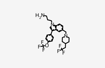 NCCCn1cc(-c2ccc(OC(F)(F)F)cc2)c2cc(CN3CCC(CC(F)(F)F)CC3)ccc21